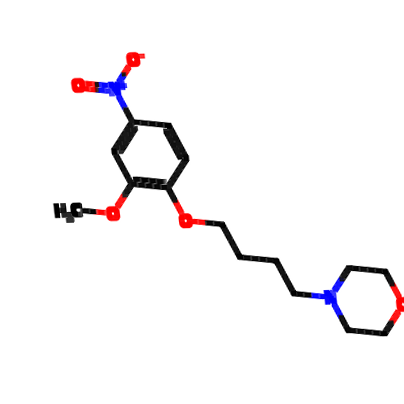 COc1cc([N+](=O)[O-])ccc1OCCCCN1CCOCC1